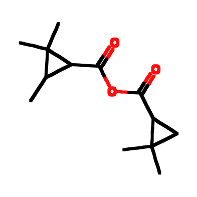 CC1C(C(=O)OC(=O)C2CC2(C)C)C1(C)C